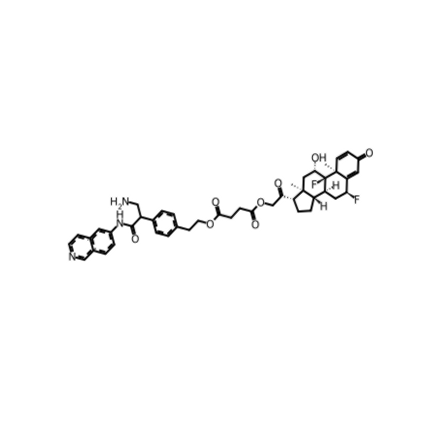 C[C@]12C[C@H](O)[C@@]3(F)[C@@H](C[C@H](F)C4=CC(=O)C=C[C@@]43C)[C@@H]1CC[C@@H]2C(=O)COC(=O)CCC(=O)OCCc1ccc(C(CN)C(=O)Nc2ccc3cnccc3c2)cc1